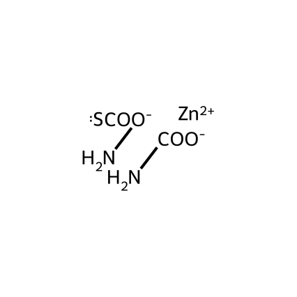 NC(=O)[O-].NC(=O)[O-].[S].[Zn+2]